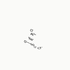 O=N[O-].[Al+3].[Cl-].[Cl-].[Cl-].[Na+]